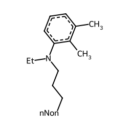 CCCCCCCCCCCCN(CC)c1cccc(C)c1C